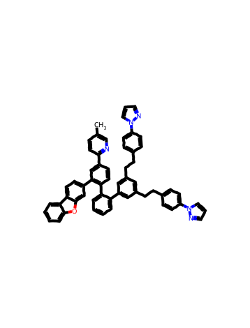 Cc1ccc(-c2ccc(-c3ccccc3-c3cc(CCc4ccc(-n5cccn5)cc4)cc(CCc4ccc(-n5cccn5)cc4)c3)c(-c3ccc4c(c3)oc3ccccc34)c2)nc1